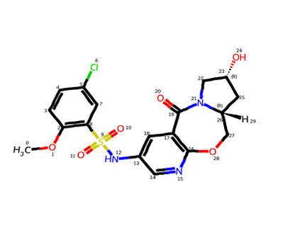 COc1ccc(Cl)cc1S(=O)(=O)Nc1cnc2c(c1)C(=O)N1C[C@H](O)C[C@@H]1CO2